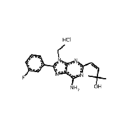 CCn1c(-c2cccc(F)c2)nc2c(N)nc(/C=C\C(C)(C)O)nc21.Cl